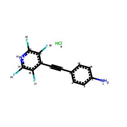 Cl.Nc1ccc(C#Cc2c(F)c(F)nc(F)c2F)cc1